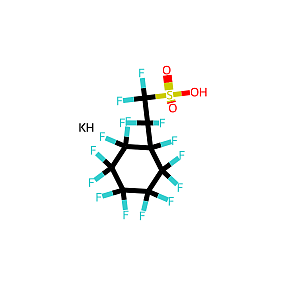 O=S(=O)(O)C(F)(F)C(F)(F)C1(F)C(F)(F)C(F)(F)C(F)(F)C(F)(F)C1(F)F.[KH]